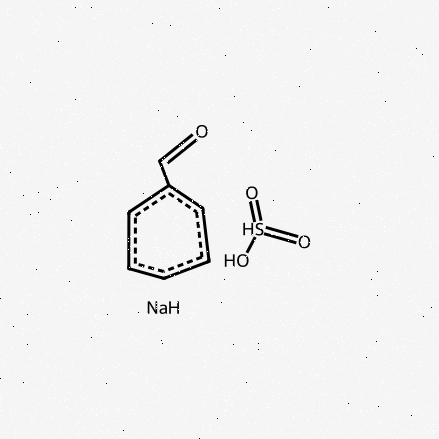 O=Cc1ccccc1.O=[SH](=O)O.[NaH]